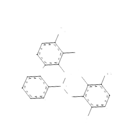 CCCCc1ccc(CC)c(OP(Oc2c(CC)ccc(CCCC)c2CC)c2ccccc2)c1CC